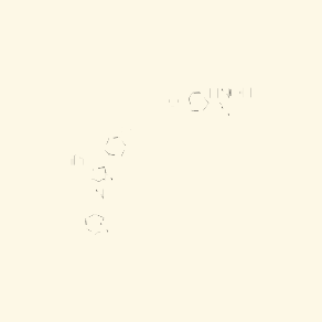 CC(C)c1sc(NCc2cccnc2)nc1-c1ccc(OCCCCCOc2ccc(C(=N)NO)cc2)cc1